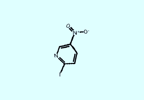 O=[N+]([O-])c1ccc(I)nc1